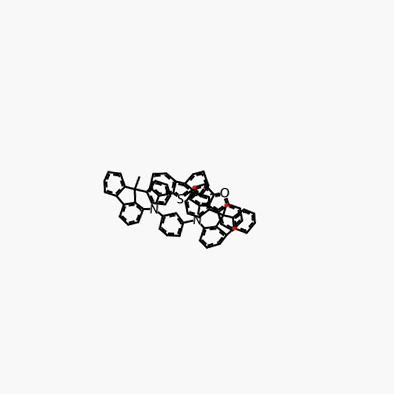 CC1(c2ccccc2)c2ccccc2-c2cccc(N(c3cccc(N(c4cccc5c4C(C)(c4ccccc4)c4ccccc4-5)c4cccc5oc6ccccc6c45)c3)c3cccc4c3sc3ccccc34)c21